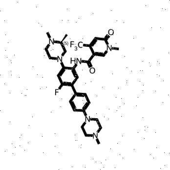 C[C@H]1CN(c2cc(F)c(-c3ccc(N4CCN(C)CC4)cc3)cc2NC(=O)c2cn(C)c(=O)cc2C(F)(F)F)CCN1C